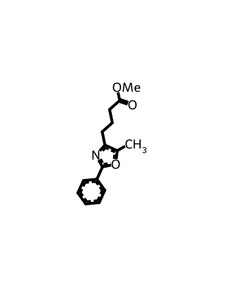 COC(=O)CCCc1nc(-c2ccccc2)oc1C